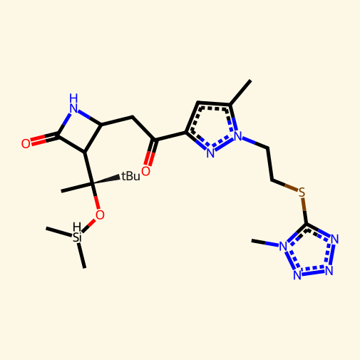 Cc1cc(C(=O)CC2NC(=O)C2[C@@](C)(O[SiH](C)C)C(C)(C)C)nn1CCSc1nnnn1C